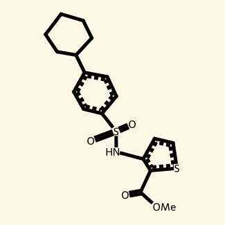 COC(=O)c1sccc1NS(=O)(=O)c1ccc(C2CCCCC2)cc1